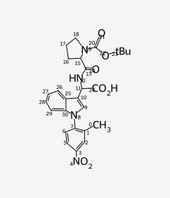 Cc1cc([N+](=O)[O-])ccc1-n1cc(C(NC(=O)C2CCCN2C(=O)OC(C)(C)C)C(=O)O)c2ccccc21